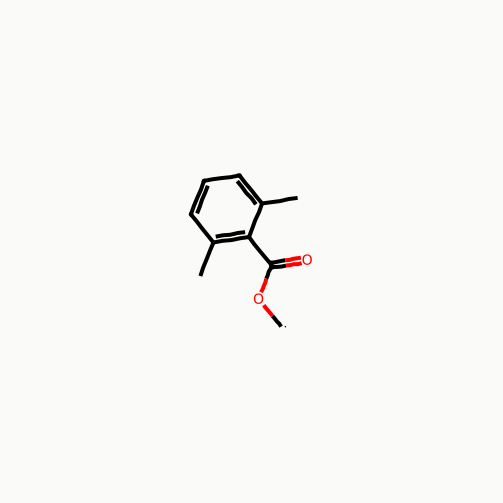 [CH2]OC(=O)c1c(C)cccc1C